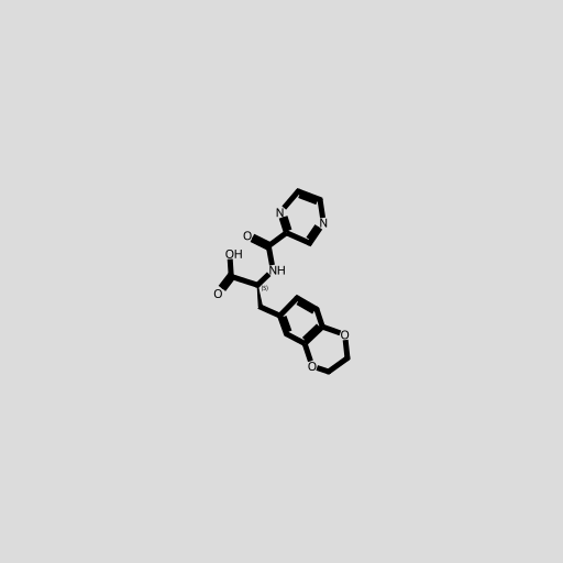 O=C(N[C@@H](Cc1ccc2c(c1)OCCO2)C(=O)O)c1cnccn1